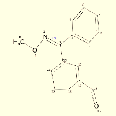 CO/N=C(/c1ccccc1)c1cccc(C=O)c1